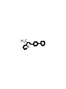 CC(/C=C/c1ccc(-c2ccccc2)cc1)c1ccccn1